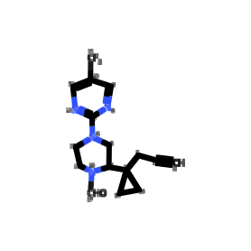 C#CCC1(C2CN(c3ncc(C(F)(F)F)cn3)CCN2C=O)CC1